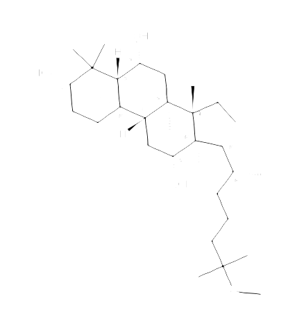 COC(C)(C)CCC[C@@H](C)[C@H]1CC[C@]2(C)[C@@H]1[C@H](O)C[C@@H]1[C@@]3(C)CC[C@H](O)C(C)(C)[C@@H]3[C@H](O)C[C@]12C